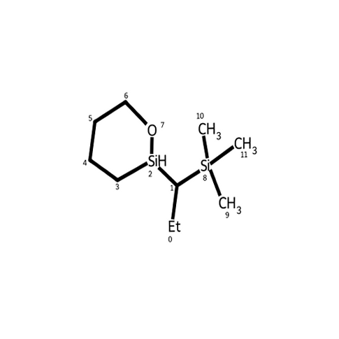 CCC([SiH]1CCCCO1)[Si](C)(C)C